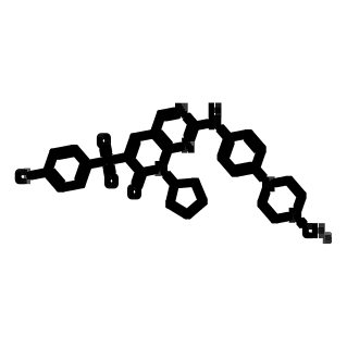 CN1CCN(c2ccc(Nc3ncc4cc(S(=O)(=O)c5ccc(Cl)cc5)c(=O)n(C5CCCC5)c4n3)cc2)CC1